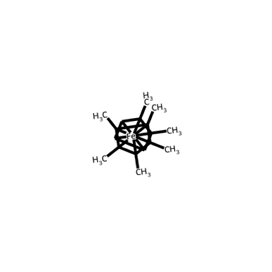 C[C]12[CH]3[CH]4[CH]5[C]1(C)[Fe]43521678[C]2(C)[C]1(C)[C]6(C)[C]7(C)[C]28C